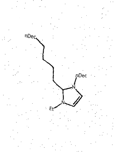 CCCCCCCCCCCCCCC1N(CC)C=CN1CCCCCCCCCC